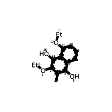 CCOc1c(C)c(O)c2cccc(OCC)c2c1O